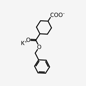 O=C([O-])C1CCC(C(=O)OCc2ccccc2)CC1.[K+]